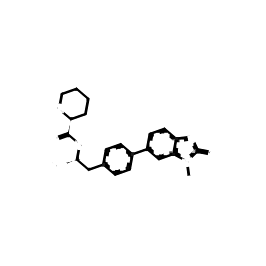 Cn1c(=O)sc2ccc(-c3ccc(C[C@@H](C#N)NC(=O)[C@@H]4CCCCN4)cc3)cc21